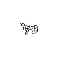 Cc1ccc(O[C@@H]2C[C@H]3CC[C@@H]2N(C(=O)c2cccc(F)c2-c2ncccn2)C3)nc1